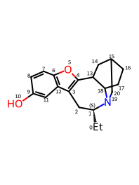 CC[C@H]1Cc2c(oc3ccc(O)cc23)C2CC3CCC2N1C3